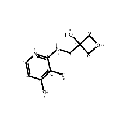 OC1(CNc2nccc(S)c2Cl)COC1